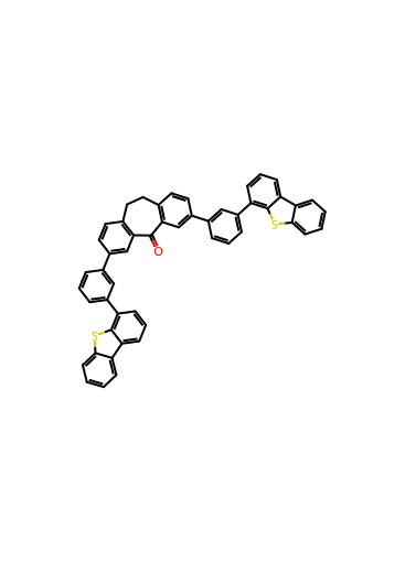 O=C1c2cc(-c3cccc(-c4cccc5c4sc4ccccc45)c3)ccc2CCc2ccc(-c3cccc(-c4cccc5c4sc4ccccc45)c3)cc21